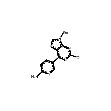 CCC(C)n1cnc2c(-c3ccc(N)nc3)nc(Cl)nc21